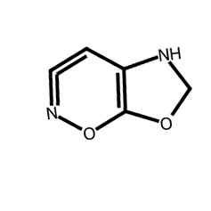 C1=CC2=C(OCN2)ON=1